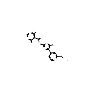 COc1ncnc(OC)c1C(=O)Nc1nc(C(F)(F)F)c(-c2ccnc(CC#N)c2)s1